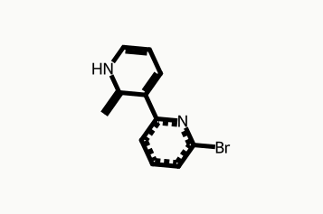 C=C1NC=CC=C1c1cccc(Br)n1